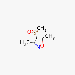 Cc1noc(C)c1[S+](C)[O-]